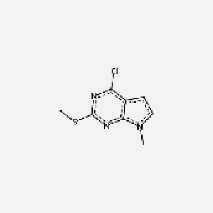 CSc1nc(Cl)c2ccn(C)c2n1